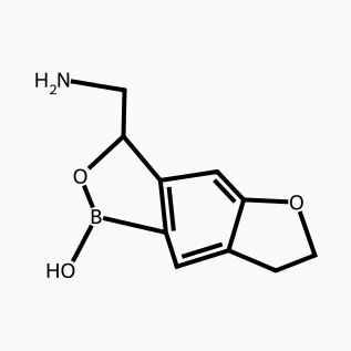 NCC1OB(O)c2cc3c(cc21)OCC3